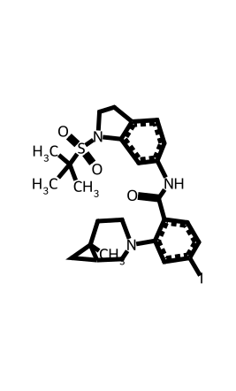 CC12CCN(c3cc(I)ccc3C(=O)Nc3ccc4c(c3)N(S(=O)(=O)C(C)(C)C)CC4)CC1C2